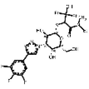 CCN(C)C(=O)C(S[C@@H]1O[C@H](CO)[C@H](O)[C@H](n2cc(-c3cc(F)c(F)c(F)c3)nn2)[C@H]1O)C(O)(CC)CC